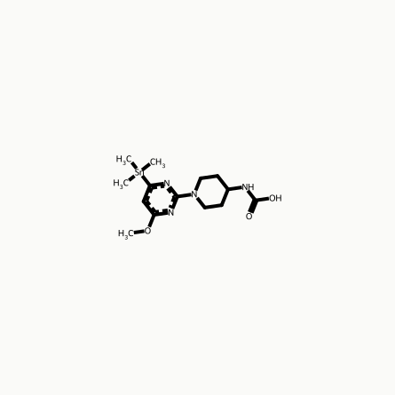 COc1c[c]([Sn]([CH3])([CH3])[CH3])nc(N2CCC(NC(=O)O)CC2)n1